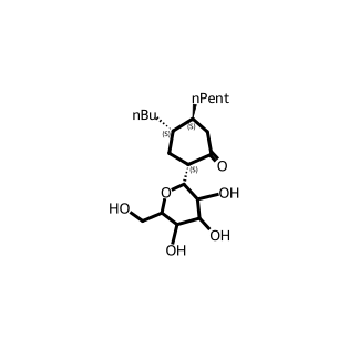 CCCCC[C@H]1CC(=O)[C@H](C2OC(CO)C(O)C(O)C2O)C[C@@H]1CCCC